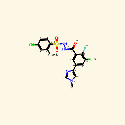 COc1cc(Cl)ccc1S(=O)(=O)NNC(=O)c1cc(-c2cn(C)cn2)cc(Cl)c1F